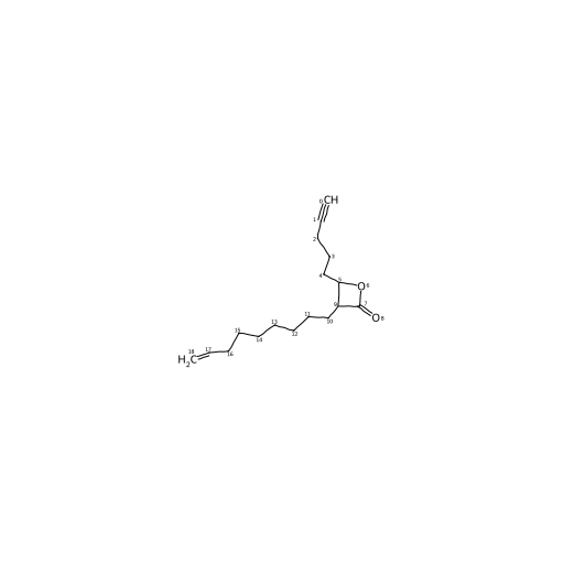 C#CCCCC1OC(=O)C1CCCCCCCC=C